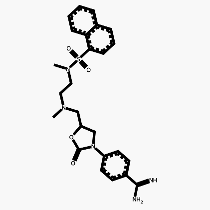 CN(CCN(C)S(=O)(=O)c1cccc2ccccc12)CC1CN(c2ccc(C(=N)N)cc2)C(=O)O1